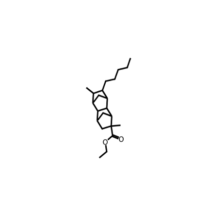 CCCCCC1C(C)C2CC1C1C2C2CC1C(C)(C(=O)OCC)C2